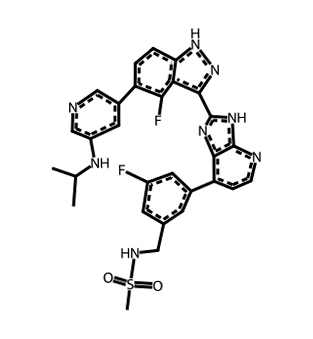 CC(C)Nc1cncc(-c2ccc3[nH]nc(-c4nc5c(-c6cc(F)cc(CNS(C)(=O)=O)c6)ccnc5[nH]4)c3c2F)c1